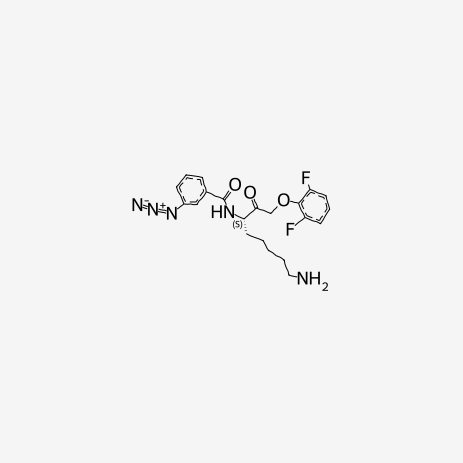 [N-]=[N+]=Nc1cccc(C(=O)N[C@@H](CCCCCN)C(=O)COc2c(F)cccc2F)c1